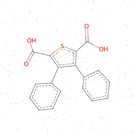 O=C(O)c1sc(C(=O)O)c(-c2ccccc2)c1-c1ccccc1